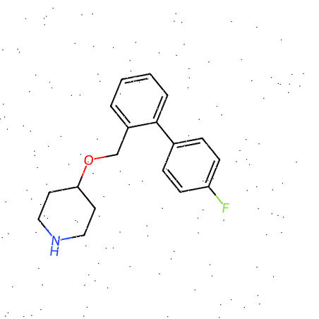 Fc1ccc(-c2ccccc2COC2CCNCC2)cc1